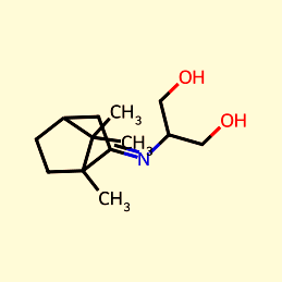 CC12CCC(C/C1=N\C(CO)CO)C2(C)C